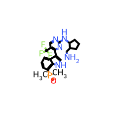 CP(C)(=O)c1cccc2c(-c3nc(NC4CCCC4CN)ncc3C(F)(F)F)c[nH]c12